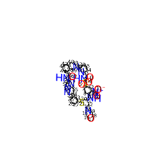 O=C(NS(=O)(=O)c1ccc(N[C@H](CCN2CCOCC2)CSc2ccccc2)c([N+](=O)[O-])c1)c1cccc(N2CCc3cccc(C(=O)Nc4cn5ncccc5n4)c3C2)n1